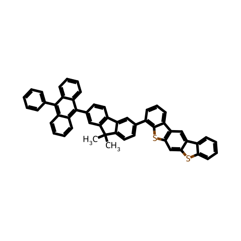 CC1(C)c2ccc(-c3cccc4c3sc3cc5sc6ccccc6c5cc34)cc2-c2ccc(-c3c4ccccc4c(-c4ccccc4)c4ccccc34)cc21